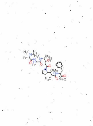 CCO[C@H](CC(=O)N1CCC[C@H]1[C@H](OC)[C@@H](C)C(=O)N[C@@H](Cc1ccccc1)C(=O)OC)[C@H]([C@@H](C)CC)N(C)C(=O)[C@@H](NC(=O)[C@H](C(C)C)N(C)C)C(C)C